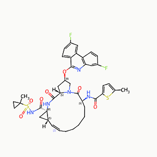 Cc1ccc(C(=O)N[C@H]2CCCCC/C=C\[C@@H]3C[C@@]3(C(=O)NS(=O)(=O)C3(C)CC3)NC(=O)[C@@H]3C[C@@H](Oc4nc5cc(F)ccc5c5cc(F)ccc45)CN3C2=O)s1